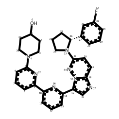 OC1CCN(c2cccc(-c3cccc(-c4cnc5ccc(N6CCC[C@@H]6c6cccc(F)c6)nn45)n3)n2)CC1